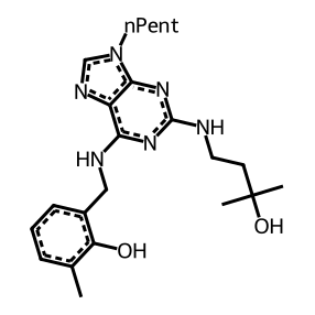 CCCCCn1cnc2c(NCc3cccc(C)c3O)nc(NCCC(C)(C)O)nc21